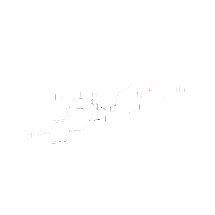 CN1CC[C@]2(C)c3cc(O)ccc3C[C@@H]1[C@@H]2NCC1CCN(C(=O)OC(C)(C)C)CC1